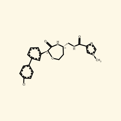 Cn1cnc(C(=O)NC[C@@H]2CCO[C@@H](c3cccc(-c4ccc(Cl)cc4)c3)C(=O)N2)c1